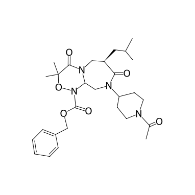 CC(=O)N1CCC(N2CC3N(C[C@@H](CC(C)C)C2=O)C(=O)C(C)(C)ON3C(=O)OCc2ccccc2)CC1